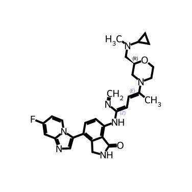 C=N/C(=C\C=C(/C)N1CCO[C@H](CN(C)C2CC2)C1)Nc1ccc(-c2cnc3cc(F)ccn23)c2c1C(=O)NC2